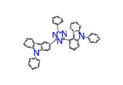 c1ccc(-c2nc(-c3ccc4c(c3)c3ccccc3n4-c3ccccc3)nc(-c3cccc4c3c3ccccc3n4-c3ccccc3)n2)cc1